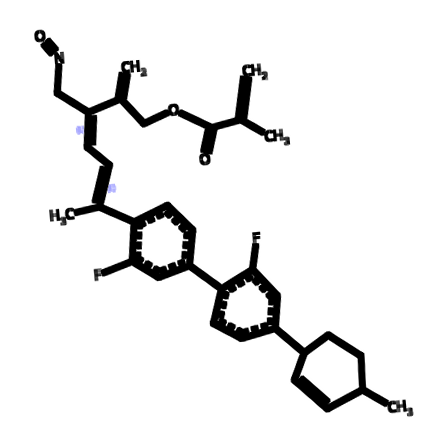 C=C(C)C(=O)OCC(=C)/C(=C\C=C(/C)c1ccc(-c2ccc(C3C=CC(C)CC3)cc2F)cc1F)CN=O